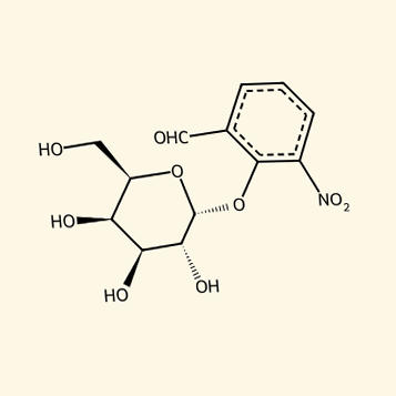 O=Cc1cccc([N+](=O)[O-])c1O[C@H]1O[C@H](CO)[C@H](O)[C@H](O)[C@H]1O